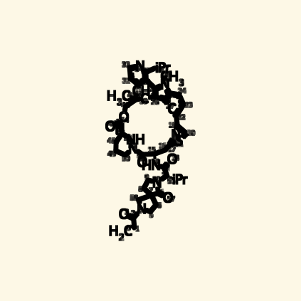 C=CC(=O)N1CCC2(CCN([C@H](C(=O)N[C@H]3Cc4nc(cs4)-c4ccc5c(c4)c(c(-c4cccnc4C(C)C)n5C)CC(C)(C)COC(=O)[C@@H]4CCCN(N4)C3=O)C(C)C)C2=O)C1